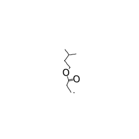 [CH2]CC(=O)OCCC(C)C